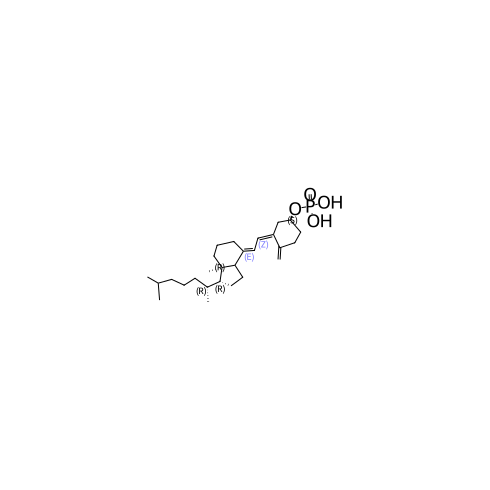 C=C1CC[C@H](OP(=O)(O)O)C/C1=C/C=C1\CCC[C@@]2(C)C1CC[C@@H]2[C@H](C)CCCC(C)C